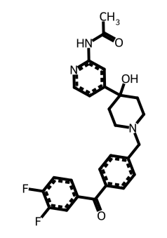 CC(=O)Nc1cc(C2(O)CCN(Cc3ccc(C(=O)c4ccc(F)c(F)c4)cc3)CC2)ccn1